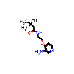 CC(C)(C)CC(=O)NCCOc1ccncc1N